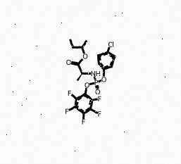 CCC(C)OC(=O)[C@H](C)NP(=O)(Oc1ccc(Cl)cc1)Oc1c(F)c(F)c(F)c(F)c1F